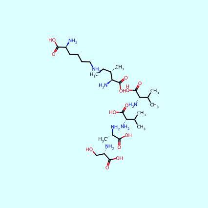 CC(C)[C@H](N)C(=O)O.CC(C)[C@H](N)C(=O)O.CC[C@H](C)[C@H](N)C(=O)O.C[C@H](N)C(=O)O.NCCCC[C@H](N)C(=O)O.N[C@@H](CO)C(=O)O